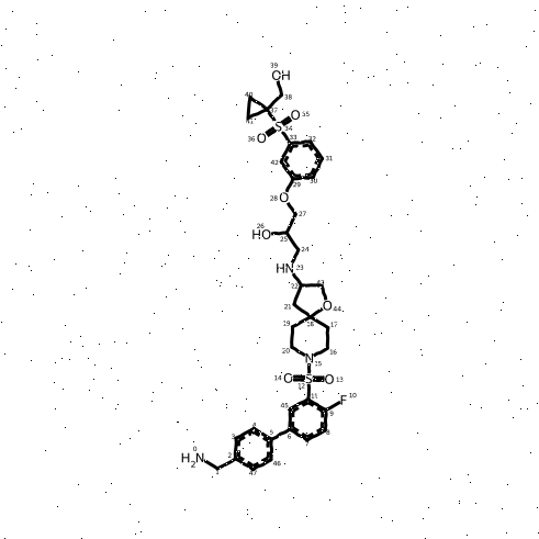 NCc1ccc(-c2ccc(F)c(S(=O)(=O)N3CCC4(CC3)CC(NCC(O)COc3cccc(S(=O)(=O)C5(CO)CC5)c3)CO4)c2)cc1